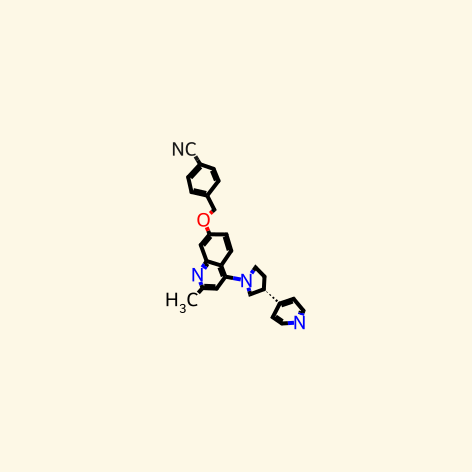 Cc1cc(N2CC[C@H](c3ccncc3)C2)c2ccc(OCc3ccc(C#N)cc3)cc2n1